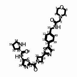 O=C(CN1CCOCC1)NCc1ccc(-c2cnc(C3CN(C(=O)c4ncc(NC(=O)[C@@H]5CCCN5)s4)C3)s2)cc1